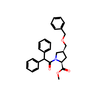 COC(=O)[C@@H]1C[C@H](COCc2ccccc2)CN1C(=O)C(c1ccccc1)c1ccccc1